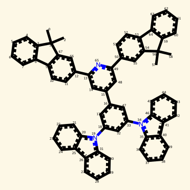 CC1(C)c2ccccc2-c2ccc(-c3cc(-c4cc(-n5c6ccccc6c6ccccc65)cc(-n5c6ccccc6c6ccccc65)c4)cc(-c4ccc5c(c4)C(C)(C)c4ccccc4-5)n3)cc21